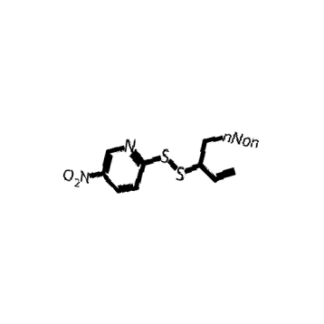 C=CC(CCCCCCCCCC)SSc1ccc([N+](=O)[O-])cn1